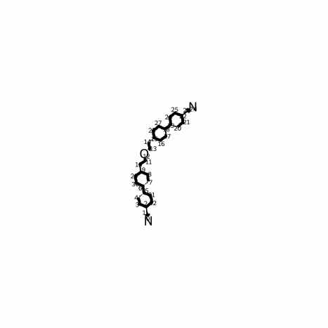 N#C[C@H]1CC[C@H]([C@H]2CC[C@H](CCOCC[C@H]3CC[C@H]([C@H]4CC[C@H](C#N)CC4)CC3)CC2)CC1